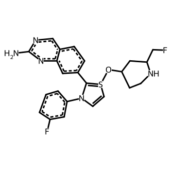 Nc1ncc2ccc(C3=S(OC4CCNC(CF)C4)C=CN3c3cccc(F)c3)cc2n1